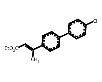 CCOC(=O)/C=C(\C)c1ccc(-c2ccc(Cl)cc2)cc1